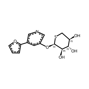 O[C@@H]1[C@@H](O)[C@@H](Oc2cncc(-c3ccco3)c2)SC[C@H]1O